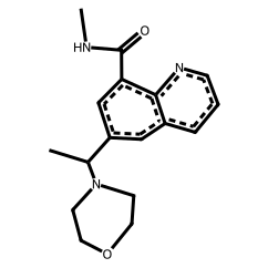 CNC(=O)c1cc(C(C)N2CCOCC2)cc2cccnc12